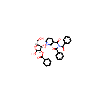 O=C(O[C@H]1C(O)O[C@H](CO)[C@H]1O)c1ccccc1.O=C(c1ccccc1)N(C(=O)c1ccccc1)C(=O)c1cccnc1